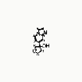 OC1(c2ccn3ccnc3c2)CCOC1